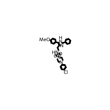 COc1ccc(-c2[nH]c(-c3ccccc3)nc2CCNS(=O)(=O)N2CCN(c3ccc(Cl)cc3)CC2)cc1